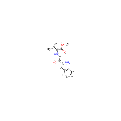 CC(C)C(C)[C@H](NC[C@@H](O)[C@H](N)Cc1ccccc1)C(=O)OC(C)(C)C